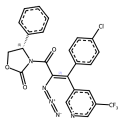 [N-]=[N+]=N/C(C(=O)N1C(=O)OC[C@@H]1c1ccccc1)=C(/c1ccc(Cl)cc1)c1cncc(C(F)(F)F)c1